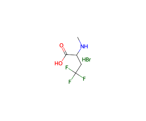 Br.CNC(CC(F)(F)F)C(=O)O